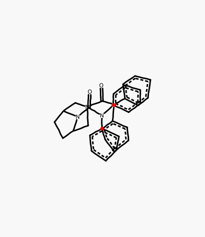 O=C(N1CC2CCC(C1)N2C(=O)N(c1ccccc1)c1ccccc1)N(c1ccccc1)c1ccccc1